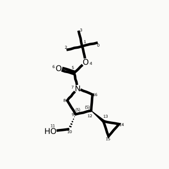 CC(C)(C)OC(=O)N1C[C@@H](CO)[C@H](C2CC2)C1